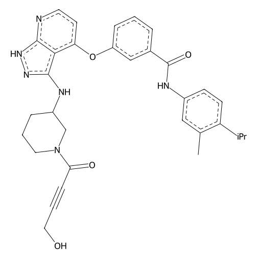 Cc1cc(NC(=O)c2cccc(Oc3ccnc4[nH]nc(NC5CCCN(C(=O)C#CCO)C5)c34)c2)ccc1C(C)C